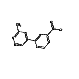 Cc1cc(-c2cccc([N+](=O)[O-])c2)cnn1